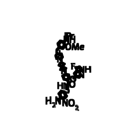 COc1cc(CN2CCN(C3CC4(C3)CN(c3ccc(C(=O)NSc5ccc(N)c([N+](=O)[O-])c5)c(Oc5cnc6[nH]cc(F)c6c5)c3)C4)CC2)ccc1NC(C)C